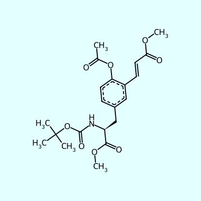 COC(=O)/C=C/c1cc(C[C@H](NC(=O)OC(C)(C)C)C(=O)OC)ccc1OC(C)=O